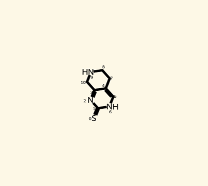 S=c1nc2c(c[nH]1)CCNC2